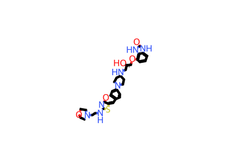 O=C1N=C(NCCN2CCOCC2)SC1=Cc1ccc(N2CCC(NC[C@@H](O)COc3cccc4[nH]c(=O)[nH]c34)CC2)cc1